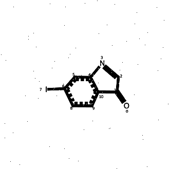 O=C1C=Nc2cc(I)ccc21